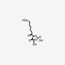 CCCCCCCCCCCCCCCC(=O)C(OP(=O)(O)O)C(=O)CO